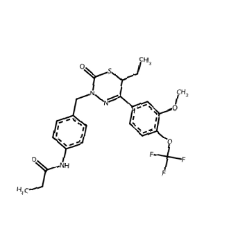 CCC(=O)Nc1ccc(CN2N=C(c3ccc(OC(F)(F)F)c(OC)c3)C(CC)SC2=O)cc1